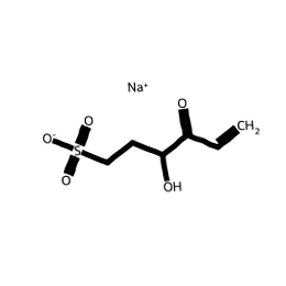 C=CC(=O)C(O)CCS(=O)(=O)[O-].[Na+]